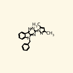 Cc1cc(C)n(-c2nnc3c4ccccc4n(Cc4ccccc4)c3n2)n1